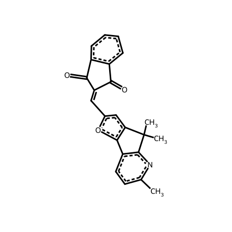 Cc1ccc2c(n1)C(C)(C)c1cc(C=C3C(=O)c4ccccc4C3=O)oc1-2